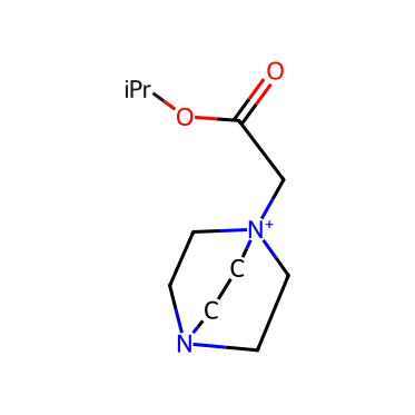 CC(C)OC(=O)C[N+]12CCN(CC1)CC2